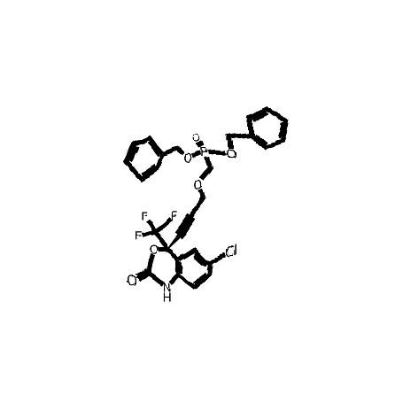 O=C1Nc2ccc(Cl)cc2[C@@](C#CCOCP(=O)(OCc2ccccc2)OCc2ccccc2)(C(F)(F)F)O1